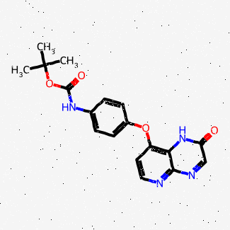 CC(C)(C)OC(=O)Nc1ccc(Oc2ccnc3ncc(=O)[nH]c23)cc1